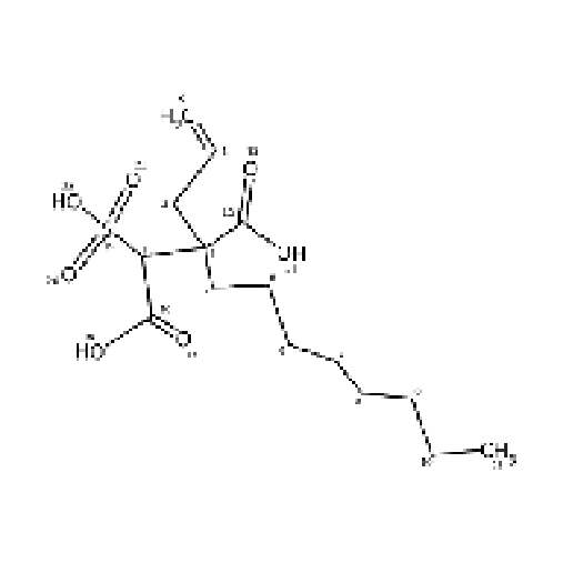 C=CCC(CCCCCCCC)(C(=O)O)C(C(=O)O)S(=O)(=O)O